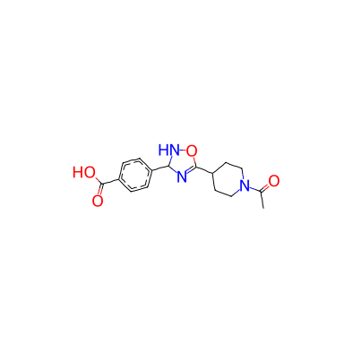 CC(=O)N1CCC(C2=NC(c3ccc(C(=O)O)cc3)NO2)CC1